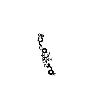 CN1C(=O)[C@@H](NC(=O)n2cc(Cc3cccc(F)c3)cn2)COc2ccc(OCCC3CCS(=O)(=O)CC3)cc21